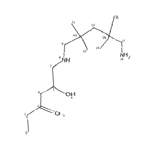 CCC(=O)CC(O)CNCC(C)(C)CC(C)(C)CN